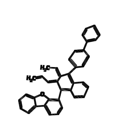 C=C/C=c1/c(-c2cccc3c2oc2ccccc23)c2ccccc2c(-c2ccc(-c3ccccc3)cc2)/c1=C/C